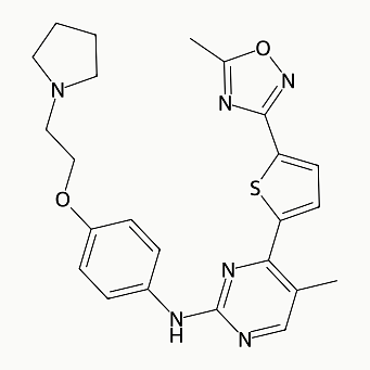 Cc1nc(-c2ccc(-c3nc(Nc4ccc(OCCN5CCCC5)cc4)ncc3C)s2)no1